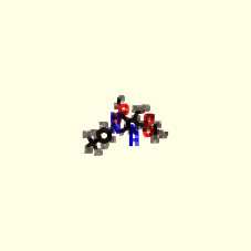 CCOC(=O)c1c(CNc2ccc(C(C)(C)C)cc2)[nH]c(C(=O)OC(C)(C)C)c1CC